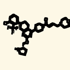 CN1CCC[C@H]1COc1nc2c(c(N3CCN(C(=O)/C=C/CN4CCOCC4)CC3)n1)CCN(c1cccc(Cl)c1C(F)(F)F)C2